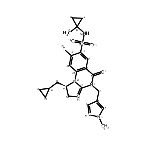 Cn1cc(CN2C(=O)c3cc(S(=O)(=O)NC4(C)CC4)c(F)cc3N3C2=NC[C@H]3CC2CC2)cn1